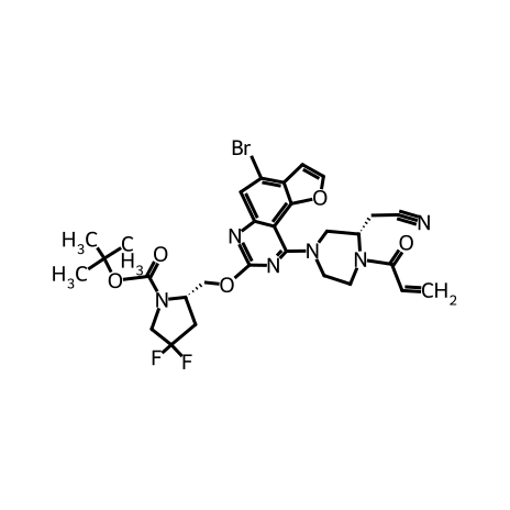 C=CC(=O)N1CCN(c2nc(OC[C@@H]3CC(F)(F)CN3C(=O)OC(C)(C)C)nc3cc(Br)c4ccoc4c23)C[C@@H]1CC#N